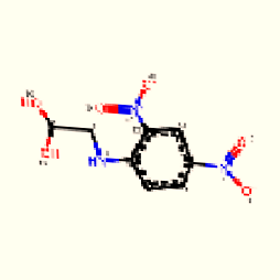 O=[N+]([O-])c1ccc(NCC(O)O)c([N+](=O)[O-])c1